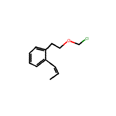 C/C=C\c1ccccc1CCOCCl